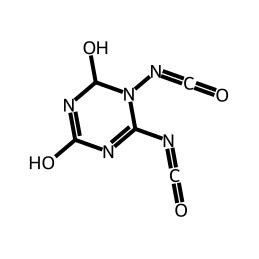 O=C=NC1=NC(O)=NC(O)N1N=C=O